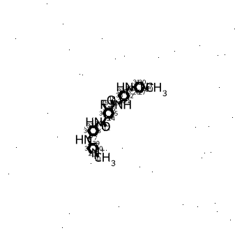 C[n+]1ccc(Nc2ccc(NC(=O)c3ccc(C(=O)Nc4ccc(Nc5cc[n+](C)cc5)cc4)c(F)c3)cc2)cc1